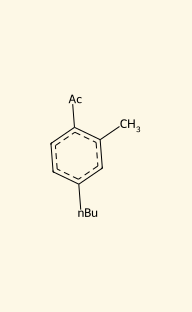 CCCCc1ccc(C(C)=O)c(C)c1